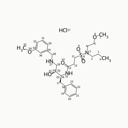 CCCN(CCOC)S(=O)(=O)CCC(=O)N[C@@H](Cc1ccccc1)[C@@H](O)CNCc1cccc(OC)c1.Cl